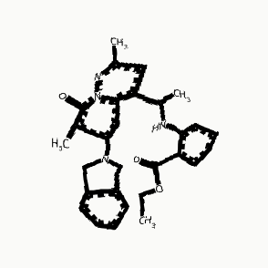 CCOC(=O)c1ccccc1NC(C)c1cc(C)nn2c(=O)c(C)c(N3Cc4ccccc4C3)cc12